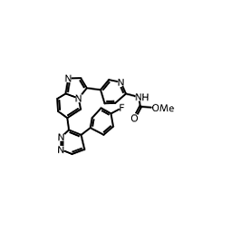 COC(=O)Nc1ccc(-c2cnc3ccc(-c4nnccc4-c4ccc(F)cc4)cn23)cn1